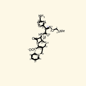 CSCO/N=C(\C(=O)NC1C(=O)N2C(C(=O)[O-])=C(C[n+]3ccccc3)CS[C@H]12)c1nsc(N)n1